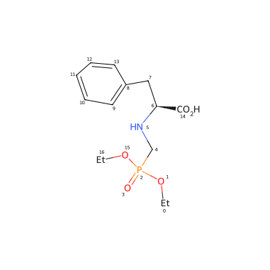 CCOP(=O)(CN[C@@H](Cc1ccccc1)C(=O)O)OCC